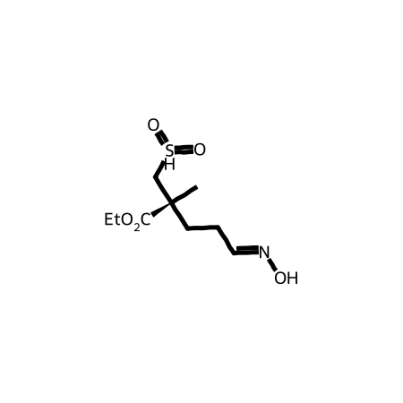 CCOC(=O)[C@@](C)(CCC=NO)C[SH](=O)=O